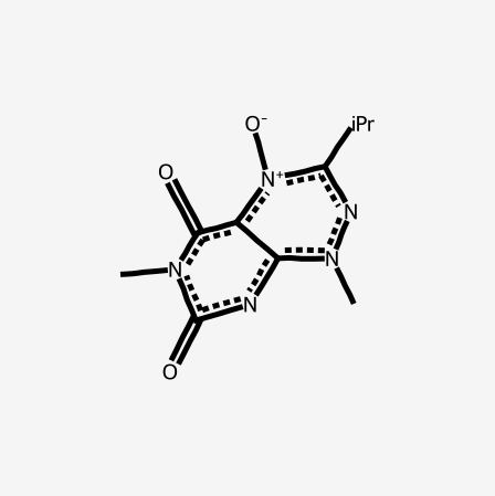 CC(C)c1nn(C)c2nc(=O)n(C)c(=O)c-2[n+]1[O-]